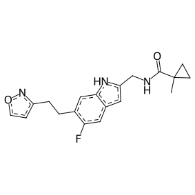 CC1(C(=O)NCc2cc3cc(F)c(CCc4ccon4)cc3[nH]2)CC1